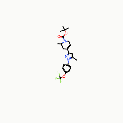 Cc1cc(C2=CCN(C(=O)OC(C)(C)C)C(C)C2)nn1-c1ccc(OC(F)(F)F)cc1